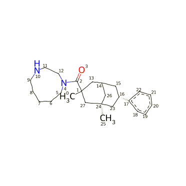 CC1(C(=O)N2CCCCCNCC2)CC2C[C@H](c3ccccc3)C[C@](C)(C2)C1